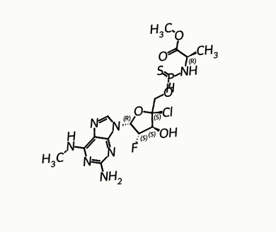 CNc1nc(N)nc2c1ncn2[C@@H]1O[C@](Cl)(CO[PH](=S)N[C@H](C)C(=O)OC)[C@@H](O)[C@@H]1F